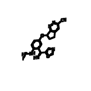 N#Cc1cc2c(nn1)C(Oc1ccc(NPI)c(C(=N)c3cnco3)c1)CC2